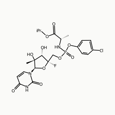 CC(C)OC(=O)[C@H](C)NP(=O)(OC[C@@]1(F)O[C@@H](n2ccc(=O)[nH]c2=O)[C@](C)(O)[C@@H]1O)Oc1ccc(Cl)cc1